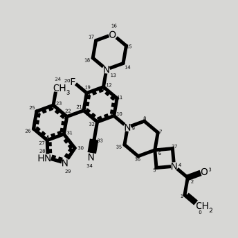 C=CC(=O)N1CC2(CCN(c3cc(N4CCOCC4)c(F)c(-c4c(C)ccc5[nH]ncc45)c3C#N)CC2)C1